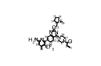 C=CC(=O)N1CCN(c2nc(OCC3CCCN3C)nc3c2C[C@H](C)[C@@H](c2nc(N)cc(C)c2C(F)(F)F)C3)CC1